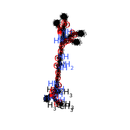 CC(C)CC(NC(=O)C(Cc1ccccc1)NC(=O)CNC(=O)OC(C)(C)C)C(=O)NCC(=O)NCCOCCOCCNC(=O)C(N)CCC(=O)NCCOCCOCC(=O)NC(CCC(=O)NC(CCC(=O)OCc1ccccc1)C(=O)OCc1ccccc1)C(=O)NC(CCC(=O)OCc1ccccc1)C(=O)OCc1ccccc1